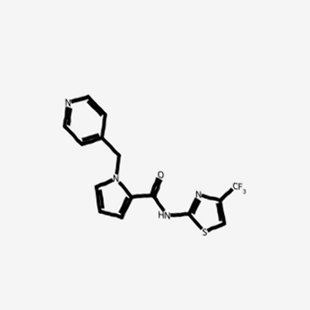 O=C(Nc1nc(C(F)(F)F)cs1)c1cccn1Cc1ccncc1